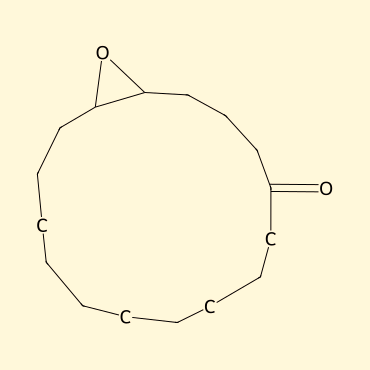 O=C1CCCCCCCCCCC2OC2CCC1